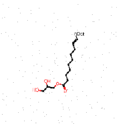 CCCCCCCCC=CCCCCCCCC(=O)OCC(O)CO